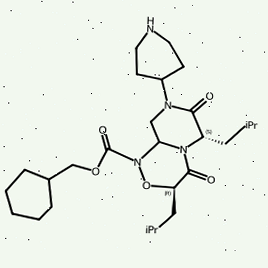 CC(C)C[C@H]1ON(C(=O)OCC2CCCCC2)C2CN(C3CCNCC3)C(=O)[C@H](CC(C)C)N2C1=O